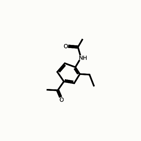 CCc1cc(C(C)=O)ccc1NC(C)=O